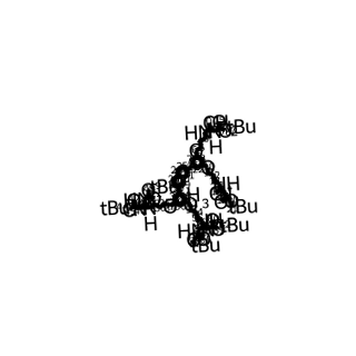 C=C(NCCCOc1cc(OCCCN/C(C)=N/C(=O)OC(C)(C)C)cc(-c2ccc3ccc(-c4cc(OCCCN/C(=N/C(=O)OC(C)(C)C)NC(=O)OC(C)(C)C)cc(OCCCN/C(=N\C(=O)OC(C)(C)C)NC(=O)OC(C)(C)C)c4)cc3c2)c1)NC(=O)OC(C)(C)C